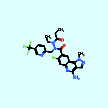 CCC(=O)N(CC)N(Cc1ccc(C(F)(F)F)cn1)C(=O)c1cc2c(cc1F)nc(N)c1cnn(C)c12